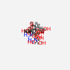 NC(CO)(CO)CO.Nc1c(S(=O)(=O)O)cc2c3c(c(=O)oc2c1S(=O)(=O)O)CCC3C(CC(=O)O)S(=O)(=O)O.[NaH]